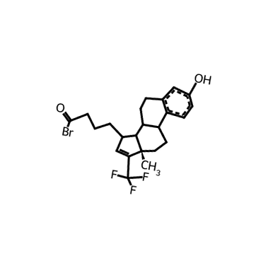 C[C@]12CCC3c4ccc(O)cc4CCC3C1C(CCCC(=O)Br)C=C2C(F)(F)F